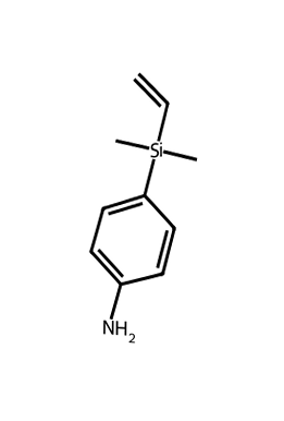 C=C[Si](C)(C)c1ccc(N)cc1